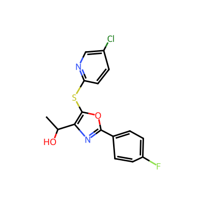 CC(O)c1nc(-c2ccc(F)cc2)oc1Sc1ccc(Cl)cn1